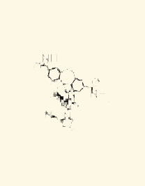 C[C@@H](CC1(c2nnnn2C)c2ccc(C(N)=O)cc2CCc2cc(C(N)=O)ccc21)NCC(=O)N1CCC[C@H]1C#N